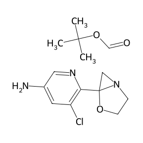 CC(C)(C)OC=O.Nc1cnc(C23CN2CCO3)c(Cl)c1